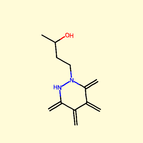 C=C1NN(CCC(C)O)C(=C)C(=C)C1=C